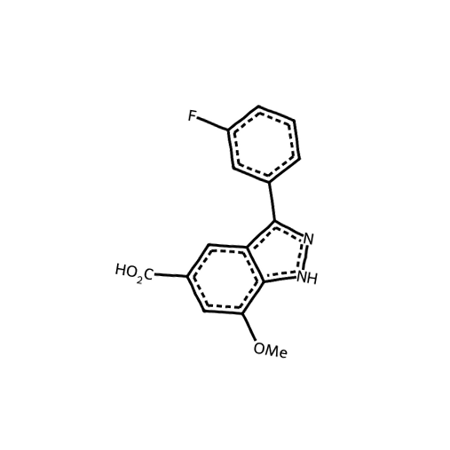 COc1cc(C(=O)O)cc2c(-c3cccc(F)c3)n[nH]c12